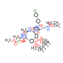 CCOC(=O)C(F)(F)C(O)[C@H](C)NC(=O)[C@@H]1Cc2ccc(OC(=O)OC(C)(C)C)c(c2)-c2cc(ccc2OC(=O)OC(C)(C)C)[C@H](N(C)C(=O)[C@H](CCCCNC(=O)OC(C)(C)C)NC(=O)c2ccc(-c3ccc(Cl)cc3)cc2)C(=O)N[C@@H](C)C(=O)N1